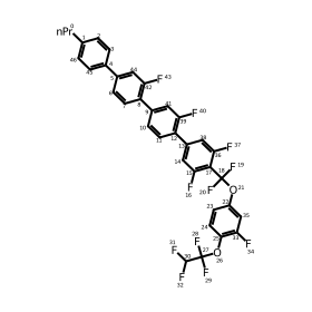 CCCc1ccc(-c2ccc(-c3ccc(-c4cc(F)c(C(F)(F)Oc5ccc(OC(F)(F)C(F)F)c(F)c5)c(F)c4)c(F)c3)c(F)c2)cc1